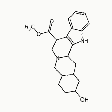 COC(=O)C1CN2CC3CCC(O)CC3CC2c2[nH]c3ccccc3c21